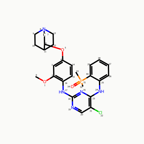 COc1cc(OC2CN3CCC2CC3)ccc1Nc1ncc(Cl)c(Nc2ccccc2P(C)(C)=O)n1